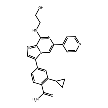 NC(=O)c1ccc(-c2cnc3c(NCCO)nc(-c4ccncc4)cn23)cc1C1CC1